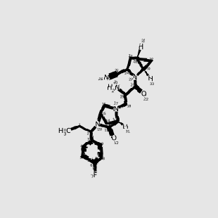 CCC(c1ccc(F)cc1)N1C(=O)[C@@H]2CC1CN2CC(N)C(=O)N1C(C#N)C[C@@H]2C[C@@H]21